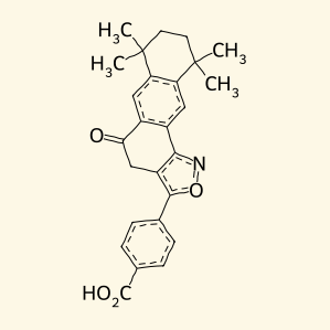 CC1(C)CCC(C)(C)c2cc3c(cc21)C(=O)Cc1c-3noc1-c1ccc(C(=O)O)cc1